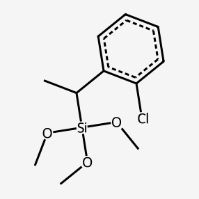 CO[Si](OC)(OC)C(C)c1ccccc1Cl